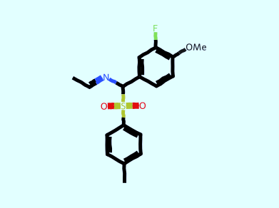 C/C=N/C(c1ccc(OC)c(F)c1)S(=O)(=O)c1ccc(C)cc1